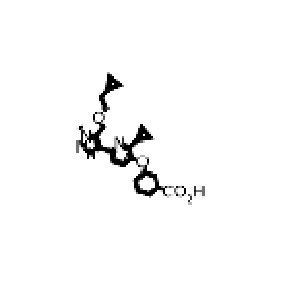 Cn1nnc(-c2ccc(OC3CCCC(C(=O)O)C3)c(C3CC3)n2)c1COCCC1CC1